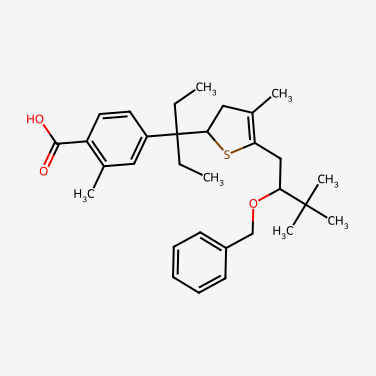 CCC(CC)(c1ccc(C(=O)O)c(C)c1)C1CC(C)=C(CC(OCc2ccccc2)C(C)(C)C)S1